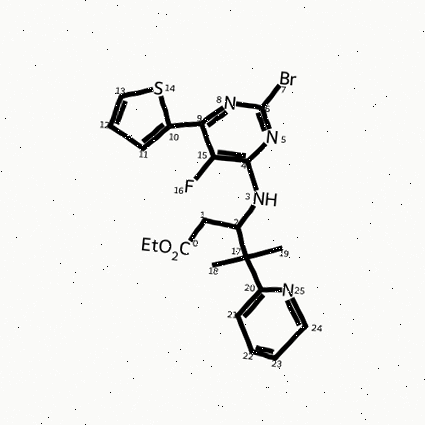 CCOC(=O)CC(Nc1nc(Br)nc(-c2cccs2)c1F)C(C)(C)c1ccccn1